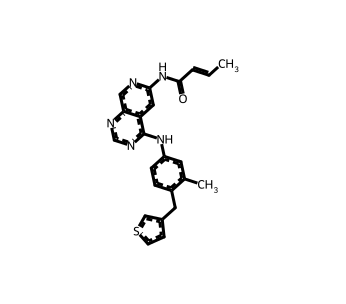 CC=CC(=O)Nc1cc2c(Nc3ccc(Cc4ccsc4)c(C)c3)ncnc2cn1